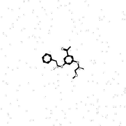 COC[C@H](C)Oc1cc(O[C@H](C)Cc2ccccc2)cc(C(C)=O)c1